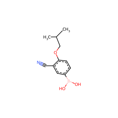 CC(C)COc1ccc(B(O)O)cc1C#N